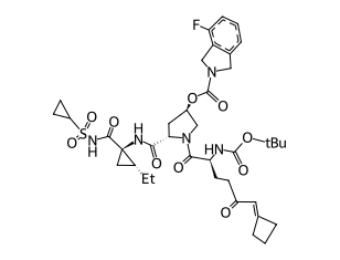 CC[C@@H]1C[C@]1(NC(=O)[C@@H]1C[C@@H](OC(=O)N2Cc3cccc(F)c3C2)CN1C(=O)[C@H](CCC(=O)C=C1CCC1)NC(=O)OC(C)(C)C)C(=O)NS(=O)(=O)C1CC1